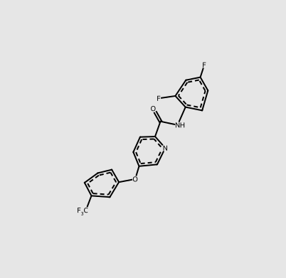 O=C(Nc1ccc(F)cc1F)c1ccc(Oc2cccc(C(F)(F)F)c2)cn1